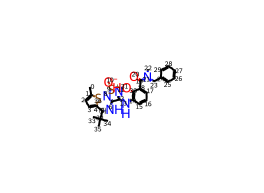 Cc1ccc([C@H](Nc2n[s+]([O-])nc2Nc2cccc(C(=O)N(C)Cc3ccccc3)c2O)C(C)(C)C)s1